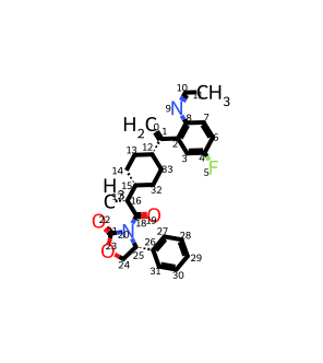 C=C(c1cc(F)ccc1/N=C\C)[C@H]1CC[C@@H]([C@@H](C)C(=O)N2C(=O)OC[C@H]2c2ccccc2)CC1